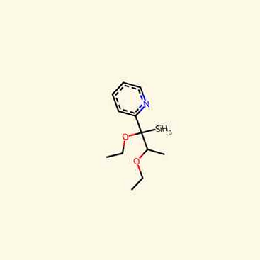 CCOC(C)C([SiH3])(OCC)c1ccccn1